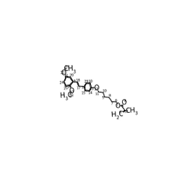 C=C(C)C(=O)OCCCCCCOc1ccc(C=Cc2cc(OC)ccc2OC)cc1